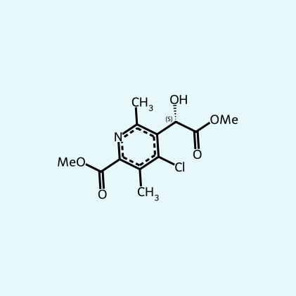 COC(=O)c1nc(C)c([C@H](O)C(=O)OC)c(Cl)c1C